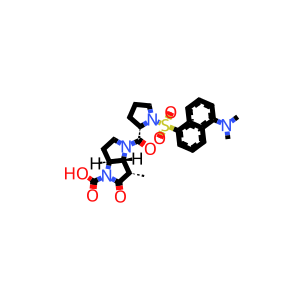 C[C@@H]1C(=O)N(C(=O)O)[C@H]2CCN(C(=O)[C@@H]3CCCN3S(=O)(=O)c3cccc4c(N(C)C)cccc34)[C@H]12